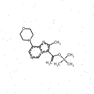 C=C(O[Si](C)(C)C)c1c(C)nc2c(N3CCOCC3)cncn12